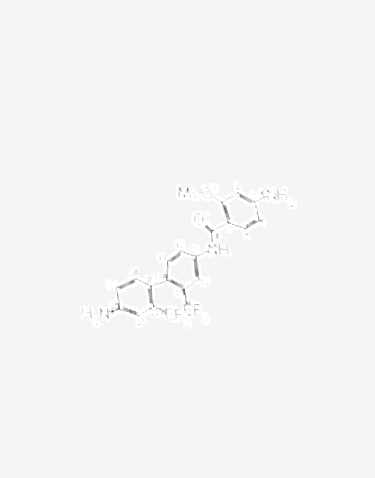 COc1cc(N)ccc1C(=O)Nc1ccc(-c2ccc(N)cc2C(F)(F)F)c(C(F)(F)F)c1